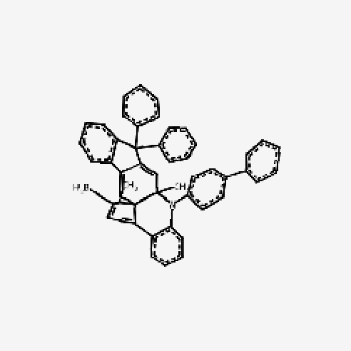 BC1=CC=C2c3ccccc3N(c3ccc(-c4ccccc4)cc3)C3(C)C=C4C(=CC23C1C)c1ccccc1C4(c1ccccc1)c1ccccc1